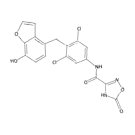 O=C(Nc1cc(Cl)c(Cc2ccc(O)c3occc23)c(Cl)c1)c1noc(=O)[nH]1